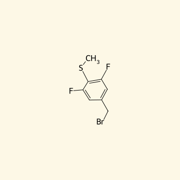 CSc1c(F)cc(CBr)cc1F